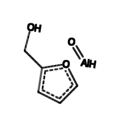 OCc1ccco1.[O]=[AlH]